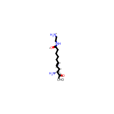 NCCNC(=O)CCCC/C=C/C[C@@H](N)C(=O)C=O